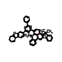 CC1C=C(N(C)c2ccccc2-c2ccc3c(c2)-c2ccccc2C3(C)C)C(c2nc(-c3ccccc3)nc(-c3ccc4c5c(oc4c3)CCC=C5)n2)=CC1